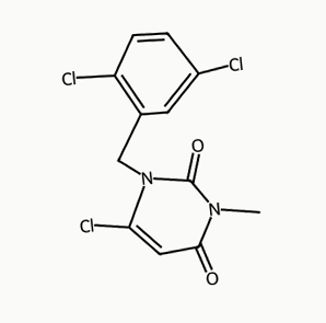 Cn1c(=O)cc(Cl)n(Cc2cc(Cl)ccc2Cl)c1=O